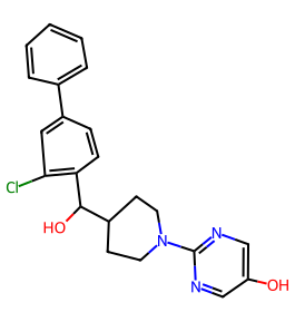 Oc1cnc(N2CCC(C(O)c3ccc(-c4ccccc4)cc3Cl)CC2)nc1